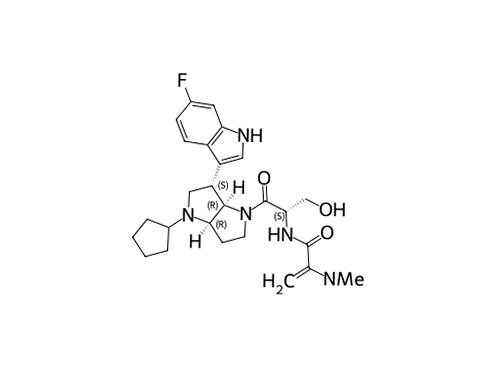 C=C(NC)C(=O)N[C@@H](CO)C(=O)N1CC[C@@H]2[C@H]1[C@@H](c1c[nH]c3cc(F)ccc13)CN2C1CCCC1